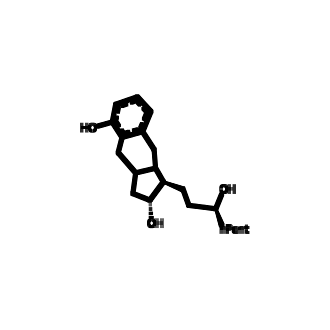 CCCCC[C@H](O)CC[C@@H]1C2Cc3cccc(O)c3CC2C[C@H]1O